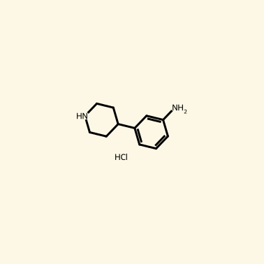 Cl.Nc1cccc(C2CCNCC2)c1